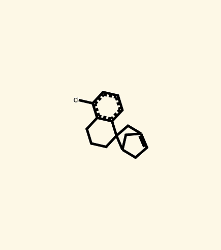 Clc1cccc2c1CCCC21CC2=CCC1C2